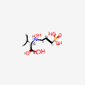 CC(C)[C@@H](C(=O)O)N(O)CC=CP(=O)(O)O